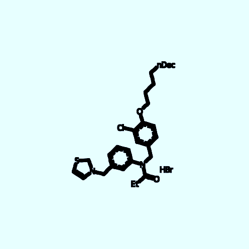 Br.CCCCCCCCCCCCCCOc1ccc(CN(C(=O)CC)c2cccc(CN3C=CSC3)c2)cc1Cl